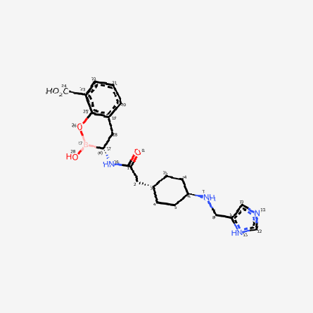 O=C(C[C@H]1CC[C@H](NCc2cnc[nH]2)CC1)N[C@H]1Cc2cccc(C(=O)O)c2OB1O